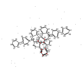 c1ccc(-c2ccc(N(c3ccc(-c4ccccc4)cc3)c3ccccc3-c3ccccc3-c3ccccc3N(c3ccc(-c4ccccc4)cc3)c3ccc(-c4ccccc4)cc3)cc2)cc1